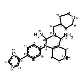 NC1C2=C(CCNC2)N(c2ccc(-c3cnco3)cc2)C(N)N1CC1CCOCC1